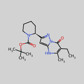 CCc1c(C)[nH]c2cc([C@@H]3CCCCN3C(=O)OC(C)(C)C)nn2c1=O